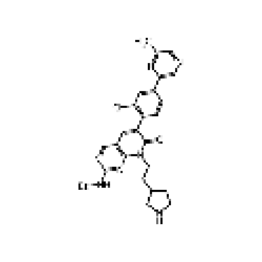 CCNc1ncc2cc(-c3ccc(-c4cncc(C)n4)cc3Cl)c(=O)n(CCC3CCNC3)c2n1